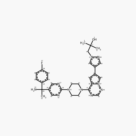 CC(C)(O)Cn1cc(-c2cc3c(N4CCN(c5ncc(C(C)(N)c6ccc(F)cc6)cn5)CC4)ncnn3c2)cn1